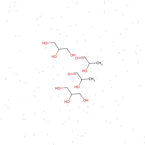 CC(O)C=O.CC(O)C=O.OCC(O)CO.OCC(O)CO